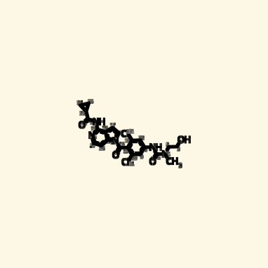 CN(CCO)C(=O)Nc1cc(Cl)c(C(=O)n2ccc3c(NC(=O)C4CC4)nccc32)c(Cl)c1